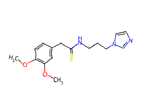 COc1ccc(CC(=S)NCCCn2ccnc2)cc1OC